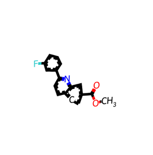 COC(=O)c1ccc2ccc(-c3cccc(F)c3)nc2c1